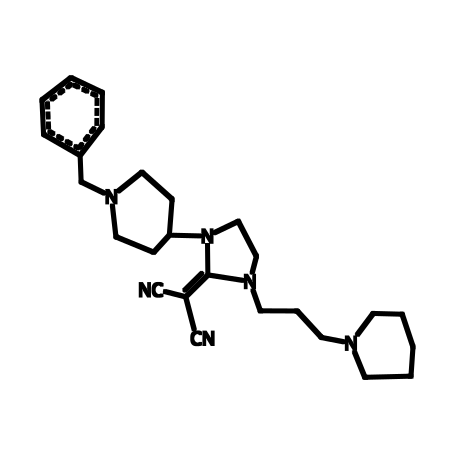 N#CC(C#N)=C1N(CCCN2CCCCC2)CCN1C1CCN(Cc2ccccc2)CC1